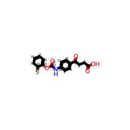 O=C(O)CCC(=O)c1ccc(NC(=O)OC2=CC=CCC2=S)cc1